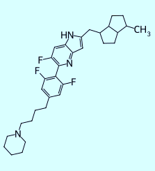 CC1CCC2C(Cc3cc4nc(-c5c(F)cc(CCCCN6CCCCC6)cc5F)c(F)cc4[nH]3)CCC12